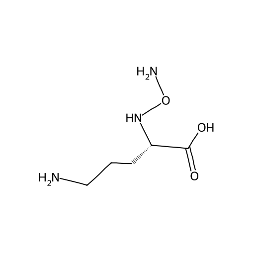 NCCC[C@H](NON)C(=O)O